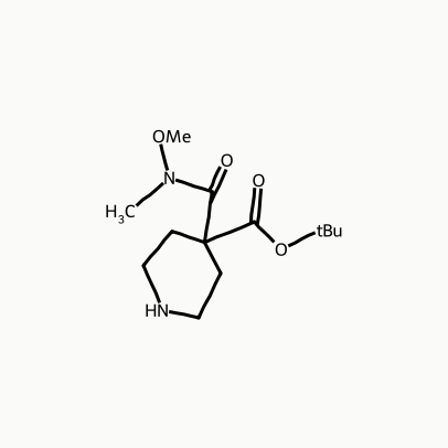 CON(C)C(=O)C1(C(=O)OC(C)(C)C)CCNCC1